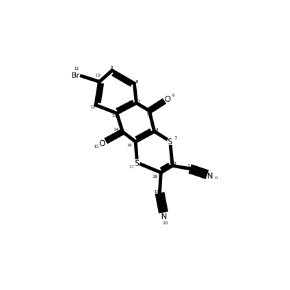 N#Cc1sc2c(=O)c3ccc(Br)cc3c(=O)c=2sc1C#N